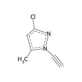 [C]#Cn1nc(Cl)cc1C